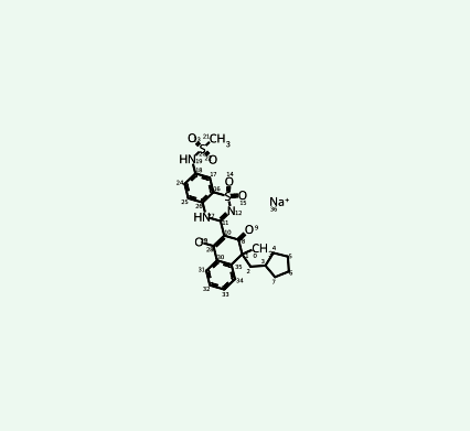 CC1(CC2CCCC2)C(=O)C(C2=NS(=O)(=O)c3cc(NS(C)(=O)=O)ccc3N2)=C([O-])c2ccccc21.[Na+]